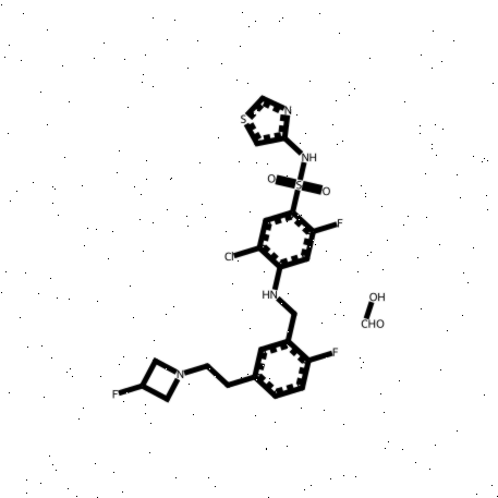 O=CO.O=S(=O)(Nc1cscn1)c1cc(Cl)c(NCc2cc(CCN3CC(F)C3)ccc2F)cc1F